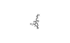 CCOC=CC(=O)Nc1ccc(Br)cc1C